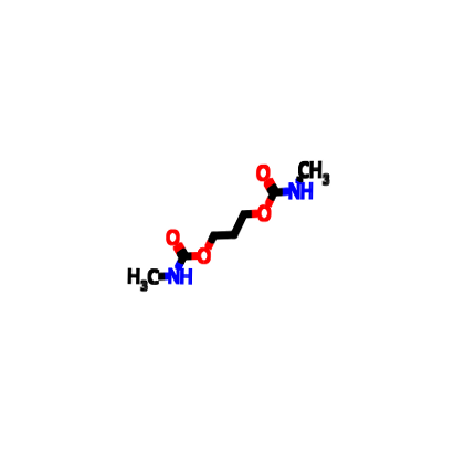 CNC(=O)OCCCOC(=O)NC